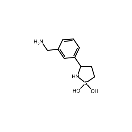 NCc1cccc(C2CCS(O)(O)N2)c1